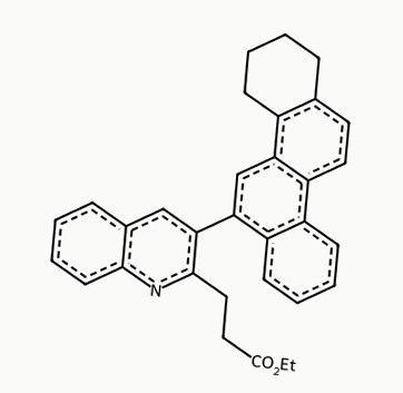 CCOC(=O)CCc1nc2ccccc2cc1-c1cc2c3c(ccc2c2ccccc12)CCCC3